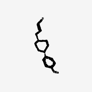 CCCCc1ccc([C@H]2CC[C@H](CC=CF)CC2)cc1